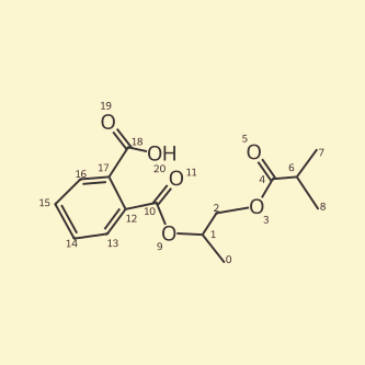 CC(COC(=O)C(C)C)OC(=O)c1ccccc1C(=O)O